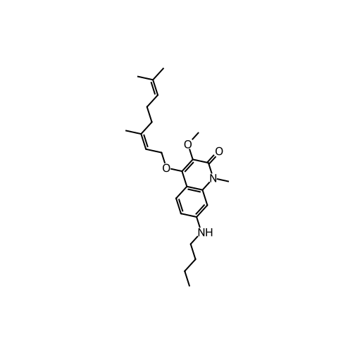 CCCCNc1ccc2c(OCC=C(C)CCC=C(C)C)c(OC)c(=O)n(C)c2c1